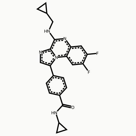 O=C(NC1CC1)c1ccc(-c2cnc3c(NCC4CC4)nc4cc(F)c(F)cc4n23)cc1